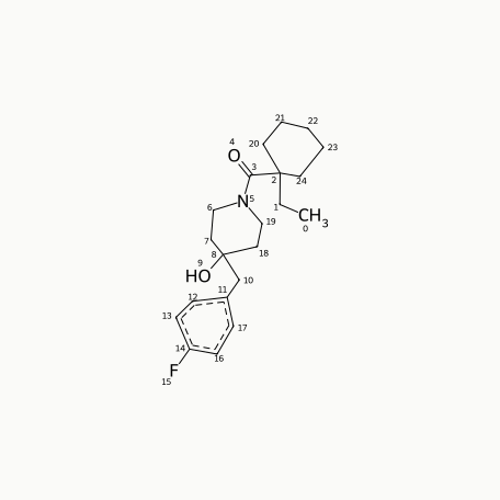 CCC1(C(=O)N2CCC(O)(Cc3ccc(F)cc3)CC2)CCCCC1